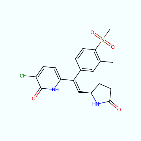 Cc1cc(/C(=C\[C@H]2CCC(=O)N2)c2ccc(Cl)c(=O)[nH]2)ccc1S(C)(=O)=O